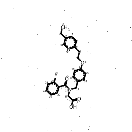 CCc1ccc(CCOc2ccc(CN(CC(=O)O)C(=O)c3ccccc3F)cc2)nc1